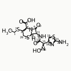 CCSC1=C(C(=O)O)N2C(=O)C(NC(=O)/C(=N\O)c3csc(N)n3)[C@H]2SC1